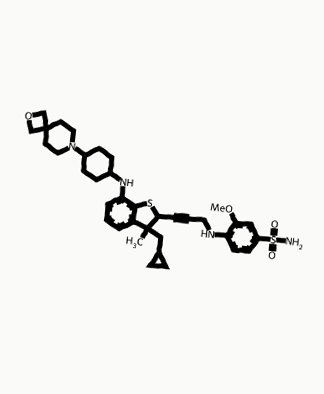 COc1cc(S(N)(=O)=O)ccc1NCC#CC1Sc2c(NC3CCC(N4CCC5(CC4)COC5)CC3)cccc2C1(C)CC1CC1